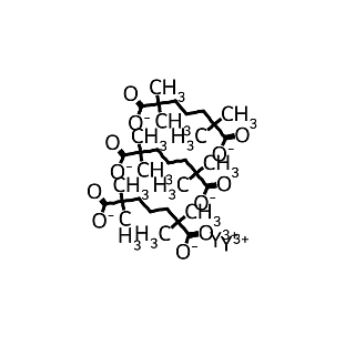 CC(C)(CCCC(C)(C)C(=O)[O-])C(=O)[O-].CC(C)(CCCC(C)(C)C(=O)[O-])C(=O)[O-].CC(C)(CCCC(C)(C)C(=O)[O-])C(=O)[O-].[Y+3].[Y+3]